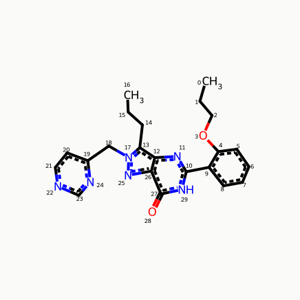 CCCOc1ccccc1-c1nc2c(CCC)n(Cc3ccncn3)nc2c(=O)[nH]1